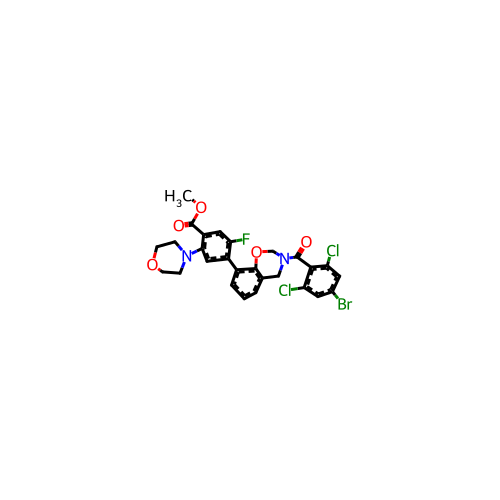 COC(=O)c1cc(F)c(-c2cccc3c2OCN(C(=O)c2c(Cl)cc(Br)cc2Cl)C3)cc1N1CCOCC1